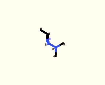 C/C=N/N(C)C